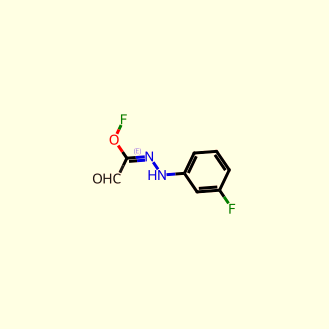 O=C/C(=N\Nc1cccc(F)c1)OF